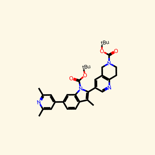 Cc1cc(-c2ccc3c(C)c(-c4cnc5c(c4)CN(C(=O)OC(C)(C)C)CC5)n(C(=O)OC(C)(C)C)c3c2)cc(C)n1